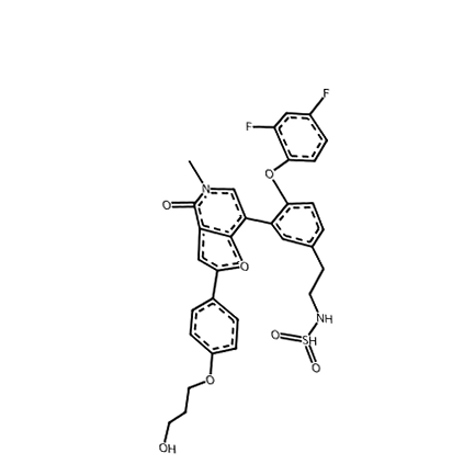 Cn1cc(-c2cc(CCN[SH](=O)=O)ccc2Oc2ccc(F)cc2F)c2oc(-c3ccc(OCCCO)cc3)cc2c1=O